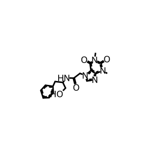 Cn1c(=O)c2c(ncn2CC(=O)NC(CO)Cc2ccccc2)n(C)c1=O